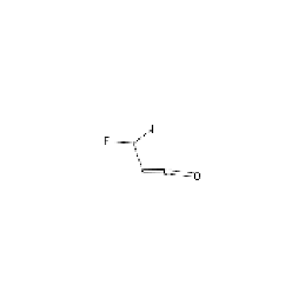 O=C=CC(F)I